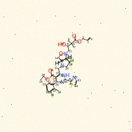 C=CCOC(=O)C(C)(C)C(O)CN1OC[C@@H]2[C@H]1C(F)(F)CN2CC1=C(C(=O)OCC)[C@H](c2cccc(F)c2C)N=C(c2nccs2)N1